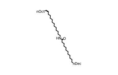 CCCCCCCC/C=C\CCCCCCCCCCCCNC(=O)CCCCCCCCCCCCCCCCCCCCC